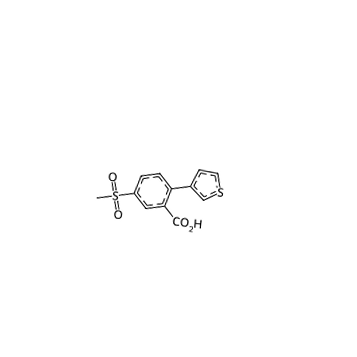 CS(=O)(=O)c1ccc(-c2ccsc2)c(C(=O)O)c1